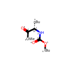 CCCC[C@H](NC(=O)OC(C)(C)C)C(=O)OC